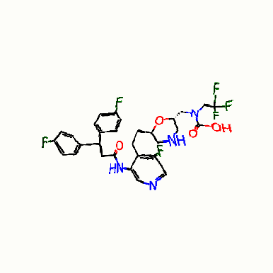 O=C(CC(c1ccc(F)cc1)c1ccc(F)cc1)Nc1cncc(F)c1CC[C@@H]1CNC[C@@H](CN(CC(F)(F)F)C(=O)O)O1